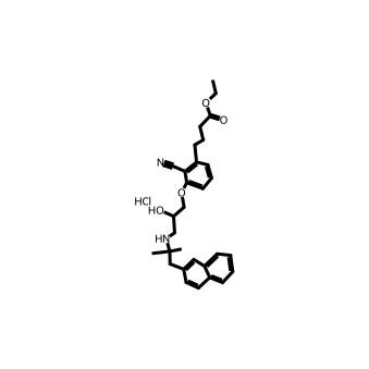 CCOC(=O)CCCc1cccc(OCC(O)CNC(C)(C)Cc2ccc3ccccc3c2)c1C#N.Cl